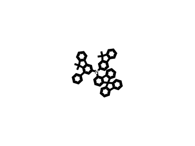 CC1(C)c2ccccc2-c2ccc(N(c3cc(-c4ccccc4)c4c(c3)-c3ccccc3C4(C)C)c3cccc4c3-c3ccccc3C43c4ccccc4-c4ccccc43)cc21